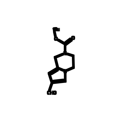 CC(C)(C)OC(=O)N1CCn2cc(C=O)cc2C1